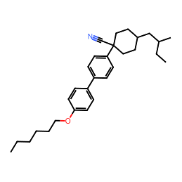 CCCCCCOc1ccc(-c2ccc(C3(C#N)CCC(CC(C)CC)CC3)cc2)cc1